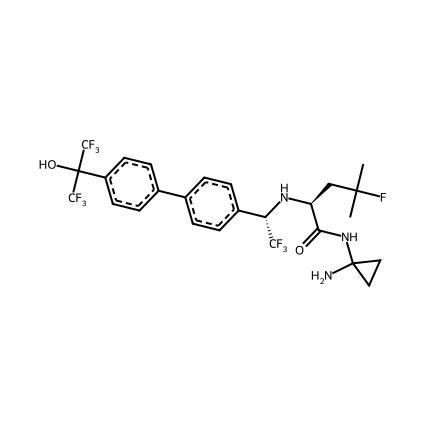 CC(C)(F)C[C@H](N[C@@H](c1ccc(-c2ccc(C(O)(C(F)(F)F)C(F)(F)F)cc2)cc1)C(F)(F)F)C(=O)NC1(N)CC1